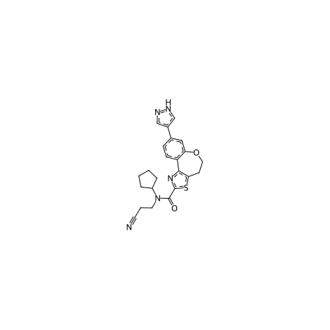 N#CCCN(C(=O)c1nc2c(s1)CCOc1cc(-c3cn[nH]c3)ccc1-2)C1CCCC1